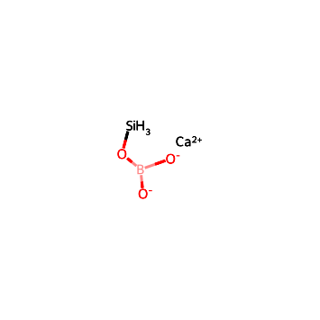 [Ca+2].[O-]B([O-])O[SiH3]